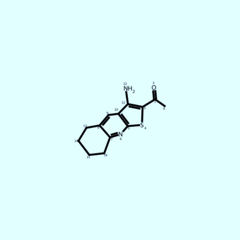 CC(=O)c1sc2nc3c(cc2c1N)CCCC3